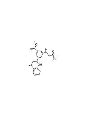 COC(=O)c1cc(NCS(C)(=O)=O)cc(C(O)CC(C)c2ccccc2)c1